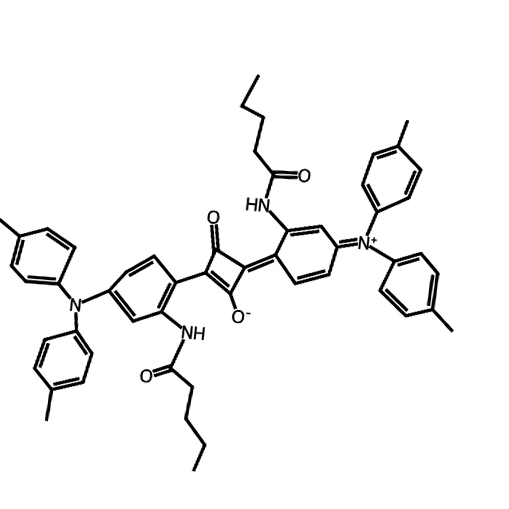 CCCCC(=O)NC1=CC(=[N+](c2ccc(C)cc2)c2ccc(C)cc2)C=C/C1=C1/C(=O)C(c2ccc(N(c3ccc(C)cc3)c3ccc(C)cc3)cc2NC(=O)CCCC)=C1[O-]